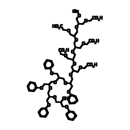 CC(C)(C)OCC(COCC(=O)O)OCC(COCC(=O)O)OCC(COCC(=O)O)OCC(COCC(=O)O)OCC(COCC(=O)O)OCC(COc1ccccc1)OCC(COc1ccccc1)OCC(COc1ccccc1)OCC(COc1ccccc1)OCC(O)COc1ccccc1